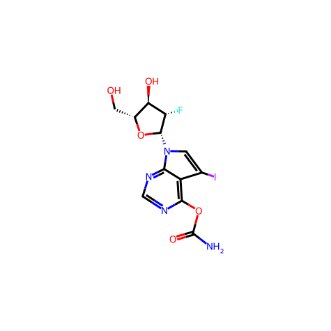 NC(=O)Oc1ncnc2c1c(I)cn2[C@@H]1O[C@H](CO)[C@@H](O)[C@@H]1F